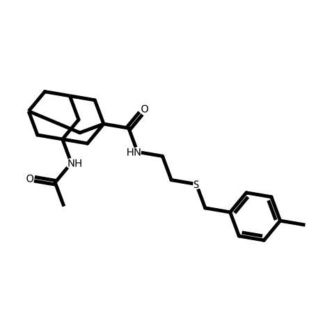 CC(=O)NC12CC3CC(C1)CC(C(=O)NCCSCc1ccc(C)cc1)(C3)C2